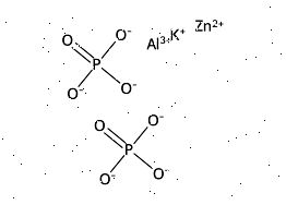 O=P([O-])([O-])[O-].O=P([O-])([O-])[O-].[Al+3].[K+].[Zn+2]